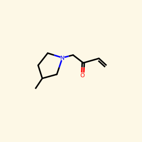 C=CC(=O)CN1CCC(C)C1